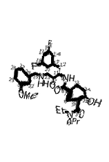 CCCN(CC)C(=O)c1cc(C(=O)N[C@@H](Cc2cc(F)cc(F)c2)[C@H](O)CNCc2cccc(OC)c2)ccc1O